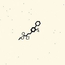 CCOC(=O)C(Cl)CCc1ccc(C2CCCCC2)c(SC)c1